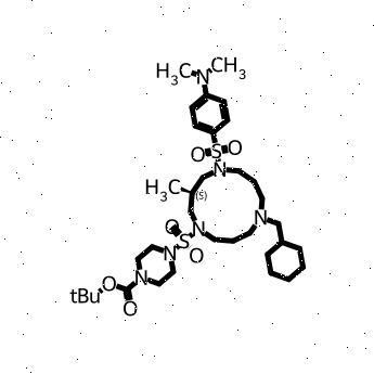 C[C@H]1CN(S(=O)(=O)c2ccc(N(C)C)cc2)CCCN(CC2CCCCC2)CCCN(S(=O)(=O)N2CCN(C(=O)OC(C)(C)C)CC2)C1